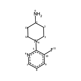 NC1CCN(c2ncccc2F)CC1